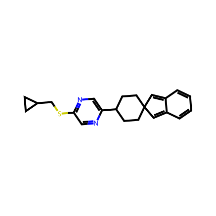 C1=c2ccccc2=CC12CCC(c1cnc(SCC3CC3)cn1)CC2